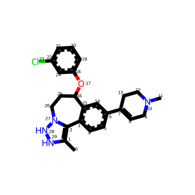 CC1=C2c3ccc(C4=CCN(C)CC4)cc3C(Oc3cccc(Cl)c3)CCN2NN1